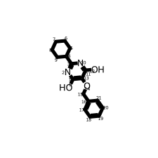 Oc1nc(C2CCCCC2)nc(O)c1OCc1ccccc1